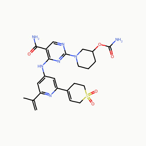 C=C(C)c1cc(Nc2nc(N3CCCC(OC(N)=O)C3)ncc2C(N)=O)cc(C2=CCS(=O)(=O)CC2)n1